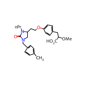 CCCN1C(=O)N(Cc2ccc(C)cc2)CC1CCOc1ccc(CC(OC)C(=O)O)cc1